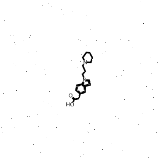 O=C(O)Cc1ccc2c(ccn2CCCN2CCCCC2)c1